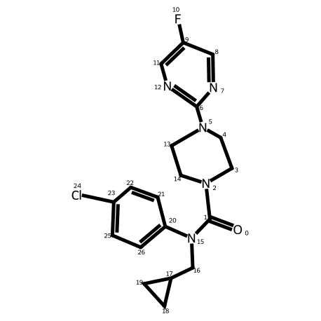 O=C(N1CCN(c2ncc(F)cn2)CC1)N(CC1CC1)c1ccc(Cl)cc1